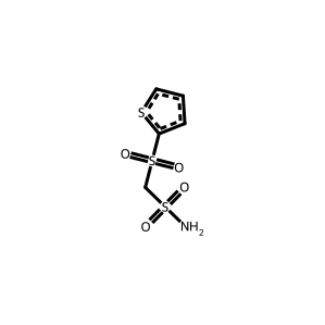 NS(=O)(=O)CS(=O)(=O)c1cccs1